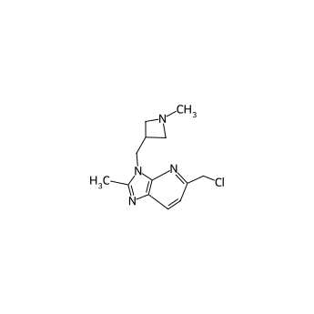 Cc1nc2ccc(CCl)nc2n1CC1CN(C)C1